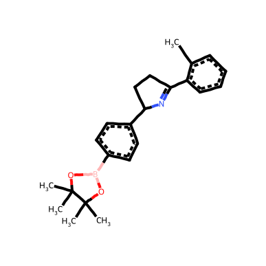 Cc1ccccc1C1=NC(c2ccc(B3OC(C)(C)C(C)(C)O3)cc2)CC1